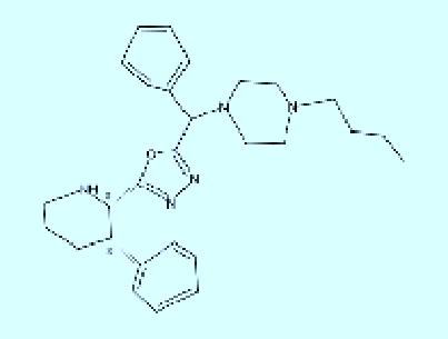 CCCCN1CCN(C(c2ccccc2)c2nnc([C@H]3NCCC[C@H]3c3ccccc3)o2)CC1